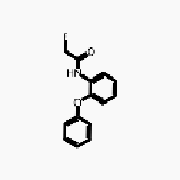 O=C(CF)Nc1ccccc1Oc1ccccc1